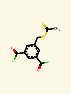 CC(=S)SCc1cc(C(=O)Cl)cc(C(=O)Cl)c1